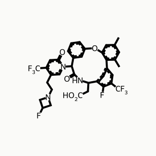 Cc1cc(C)c2c(c1)Oc1cccc(c1)C(n1cc(CCN3CC(F)C3)c(C(F)(F)F)cc1=O)C(=O)NC(CC(=O)O)c1cc-2cc(C(F)(F)F)c1F